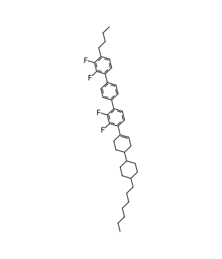 CCCCCCCC1CCC(C2CC=C(c3ccc(-c4ccc(-c5ccc(CCCC)c(F)c5F)cc4)c(F)c3F)CC2)CC1